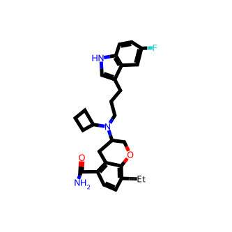 CCc1ccc(C(N)=O)c2c1OCC(N(CCCc1c[nH]c3ccc(F)cc13)C1CCC1)C2